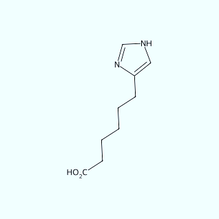 O=C(O)CCCCCc1c[nH]cn1